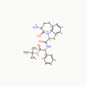 CC(C)(C)OC(=O)C(NC(=O)C1Cc2cccc3c2N1C(=O)C(N)CC3)c1ccccc1